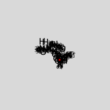 CCN(CC)c1ccc2c(-c3ccc(S(=O)(=O)NCCC[C@H](CNC(=O)Nc4ccccc4)N(C)C[C@H]4CCCN4CCc4ccc(OC)cc4)cc3S(=O)(=O)O)c3ccc(=[N+](CC)CC)cc-3oc2c1